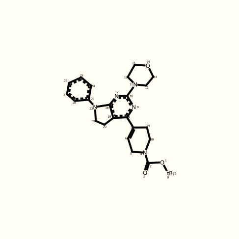 CC(C)(C)OC(=O)N1CC=C(c2nc(N3CCOCC3)nc3c2CCN3c2ccccc2)CC1